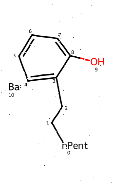 CCCCCCCc1ccccc1O.[Ba]